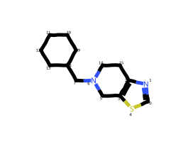 [c]1nc2c(s1)CN(CC1CCCCC1)CC2